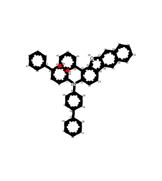 c1ccc(-c2ccc(N(c3ccc(-c4ccccc4)cc3)c3ccc4c(oc5cc6ccccc6cc54)c3-c3ccccc3)cc2)cc1